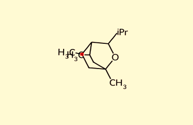 CC(C)C1OC2(C)CC(C)C1C(C)C2